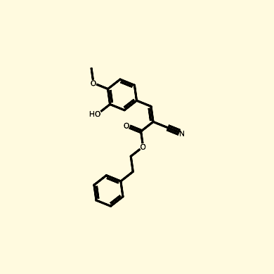 COc1ccc(C=C(C#N)C(=O)OCCc2ccccc2)cc1O